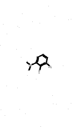 CN(C)c1cccc(Cl)c1F